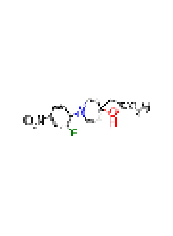 O=C(O)CC1(O)CCN(c2ccc([N+](=O)[O-])cc2F)CC1